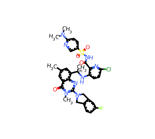 Cc1cc([C@@H](C)Nc2ccc(Cl)nc2C(=O)NS(=O)(=O)c2ccc(N(C)C)nc2)c2nc(N3Cc4ccc(F)cc4C3)n(C)c(=O)c2c1